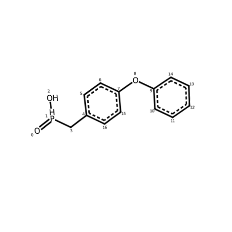 O=[PH](O)Cc1ccc(Oc2ccccc2)cc1